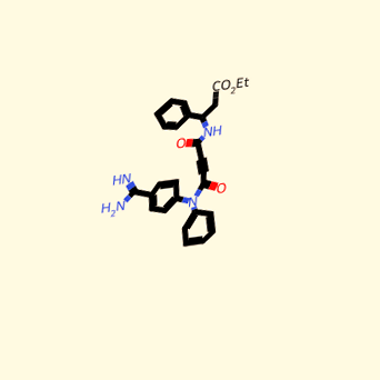 CCOC(=O)CC(NC(=O)C#CC(=O)N(c1ccccc1)c1ccc(C(=N)N)cc1)c1ccccc1